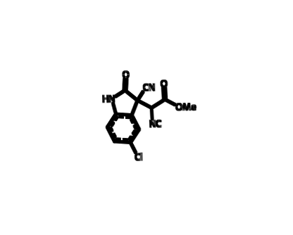 [C-]#[N+]C(C(=O)OC)C1(C#N)C(=O)Nc2ccc(Cl)cc21